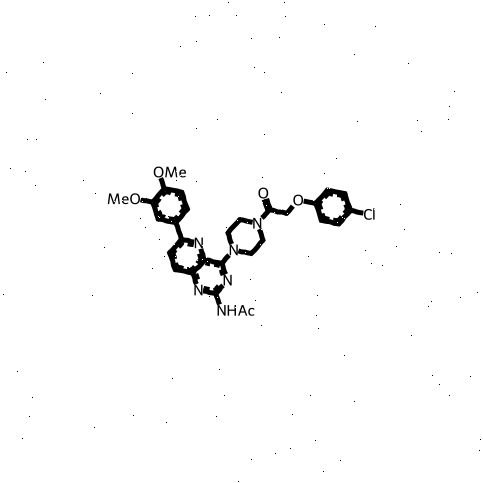 COc1ccc(-c2ccc3nc(NC(C)=O)nc(N4CCN(C(=O)COc5ccc(Cl)cc5)CC4)c3n2)cc1OC